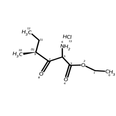 CCOC(=O)C(N)C(=O)[C@@H](C)CC.Cl